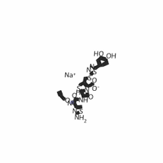 C#CCO/N=C(\C(=O)N[C@@H]1C(=O)N2C(C(=O)[O-])=C(CSc3nnc(-c4ccc(O)c(O)c4)s3)CS[C@H]12)c1csc(N)n1.[Na+]